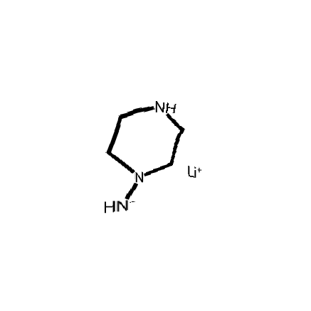 [Li+].[NH-]N1CCNCC1